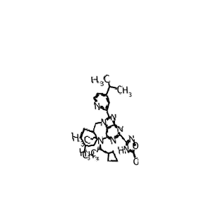 CCN(c1nc(-c2noc(=O)[nH]2)nc2nc(-c3cc(C(C)C)ccn3)n(CC3CCC(C)CC3)c12)[C@H](C)C1CCC1